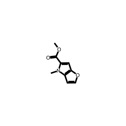 COC(=O)c1cc2occc2n1C